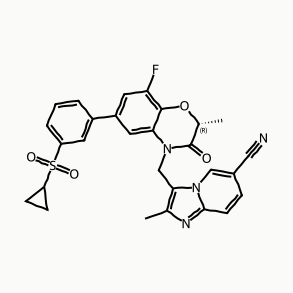 Cc1nc2ccc(C#N)cn2c1CN1C(=O)[C@@H](C)Oc2c(F)cc(-c3cccc(S(=O)(=O)C4CC4)c3)cc21